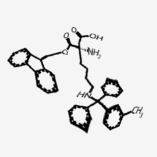 Cc1cccc(C(NCCCC[C@](N)(C(=O)O)C(=O)OCC2c3ccccc3-c3ccccc32)(c2ccccc2)c2ccccc2)c1